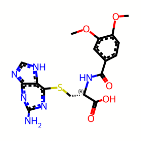 COc1ccc(C(=O)N[C@@H](CSc2nc(N)nc3nc[nH]c23)C(=O)O)cc1OC